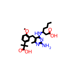 CCCCC(CC(=O)O)Nc1nc(N)nc(C)c1Cc1cc(C(C)(C)C(=O)O)ccc1OC